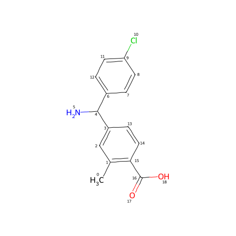 Cc1cc(C(N)c2ccc(Cl)cc2)ccc1C(=O)O